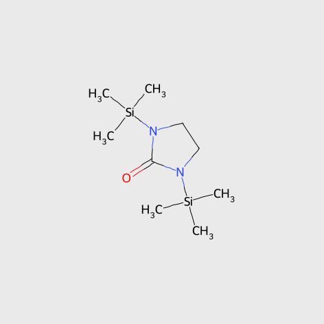 C[Si](C)(C)N1CCN([Si](C)(C)C)C1=O